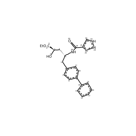 CCOC(=O)[C@H](O)C[C@@H](Cc1ccc(-c2ccccc2)cc1)NC(=O)c1c[nH]nn1